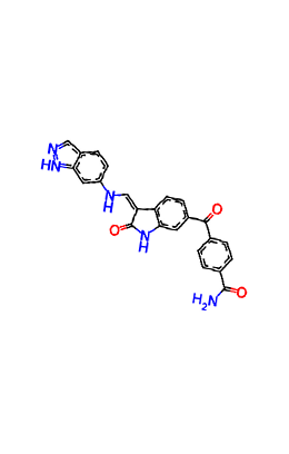 NC(=O)c1ccc(C(=O)c2ccc3c(c2)NC(=O)C3=CNc2ccc3cn[nH]c3c2)cc1